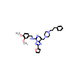 COc1ccc(CNc2ncc(CN3CCN(CCCc4ccccc4)CC3)c3nc(-c4ccco4)nn23)cc1OC